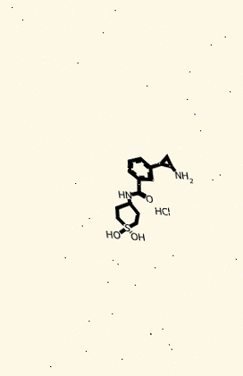 Cl.NC1CC1c1cccc(C(=O)NC2CCS(O)(O)CC2)c1